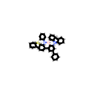 Cc1ccccc1N1B2c3c(cc(-c4ccccc4)cc3-n3c4ccccc4c4cccc2c43)-c2ccc3c(sc4ccccc43)c21